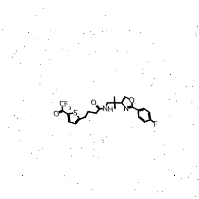 CC(C)(CNC(=O)CCCc1ccc(C(=O)C(F)(F)F)s1)C1COC(c2ccc(F)cc2)=N1